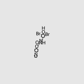 O=C(COc1ccc(-n2cccc2)cc1)N/N=C/c1cc(Br)c(O)c(Br)c1